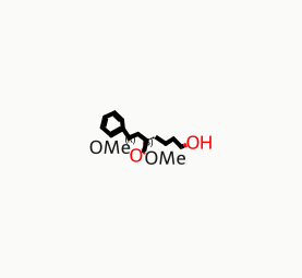 COC(=O)[C@@H](CCCCO)C[C@@H](OC)c1ccccc1